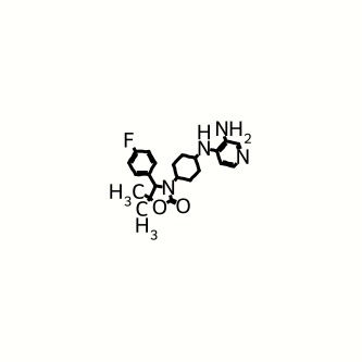 CC1(C)OC(=O)N(C2CCC(Nc3ccncc3N)CC2)C1c1ccc(F)cc1